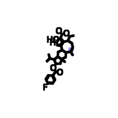 C=C1C2CC3C(C(C)C)C(OC(=O)c4ccc(F)cc4)CC3(C)CC2/C(C)=C\CC2C(C)OC(=O)C(O)C12O